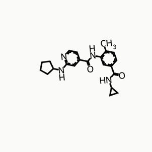 Cc1ccc(C(=O)NC2CC2)cc1NC(=O)c1ccnc(NC2CCCC2)c1